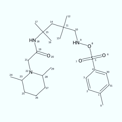 Cc1ccc(S(=O)(=O)ONCC(C)(C)CC(C)(C)NC(=O)CN2C(C)CCCC2C)cc1